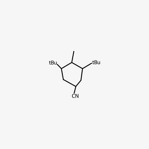 CC1C(C(C)(C)C)CC(C#N)CC1C(C)(C)C